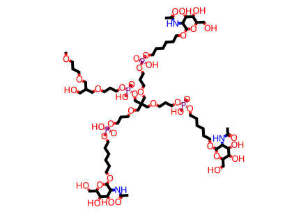 COCCCOCC(CO)COCCCOP(=O)(O)OCC(COCCCOP(=O)(O)OCCCCCCOC1OC(CO)C(O)C(O)C1NC(C)=O)(COCCCOP(=O)(O)OCCCCCCOC1OC(CO)C(O)C(O)C1NC(C)=O)COCCCOP(=O)(O)OCCCCCCOC1OC(CO)C(O)C(O)C1NC(C)=O